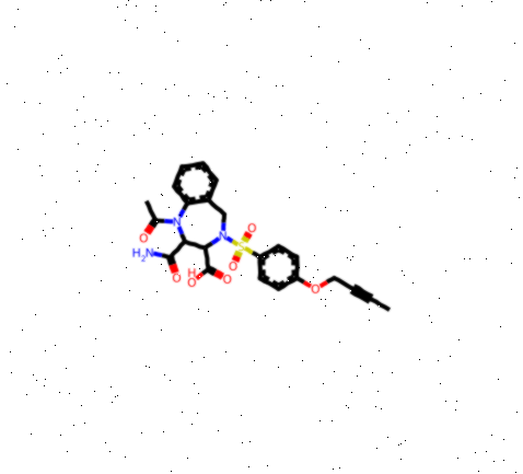 CC#CCOc1ccc(S(=O)(=O)N2Cc3ccccc3N(C(C)=O)C(C(N)=O)C2C(=O)O)cc1